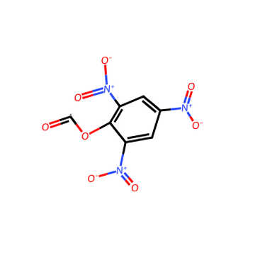 O=[C]Oc1c([N+](=O)[O-])cc([N+](=O)[O-])cc1[N+](=O)[O-]